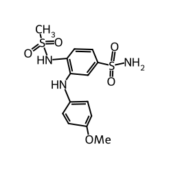 COc1ccc(Nc2cc(S(N)(=O)=O)ccc2NS(C)(=O)=O)cc1